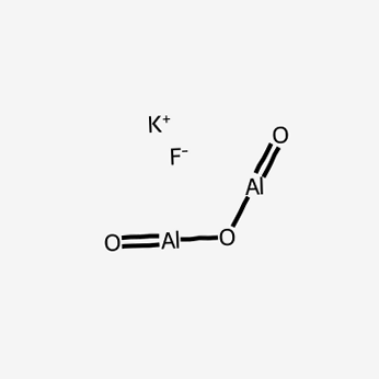 [F-].[K+].[O]=[Al][O][Al]=[O]